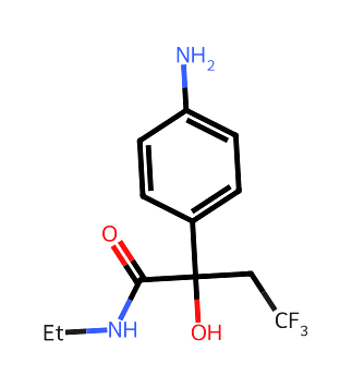 CCNC(=O)C(O)(CC(F)(F)F)c1ccc(N)cc1